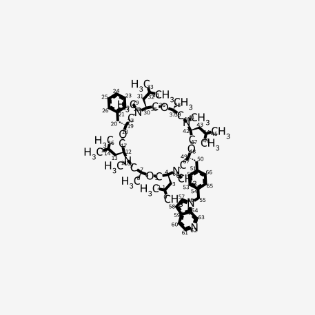 CC(C)C[C@H]1CO[C@H](C)CN(C)[C@@H](CC(C)C)CO[C@H](Cc2ccccc2)CN(C)[C@@H](CC(C)C)CO[C@H](C)CN(C)[C@@H](CC(C)C)CO[C@H](Cc2ccc(Cn3ccc4ccncc43)cc2)CN1C